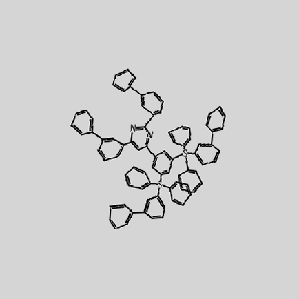 c1ccc(-c2cccc(-c3cc(-c4cc(S(c5ccccc5)(c5ccccc5)c5cccc(-c6ccccc6)c5)cc(S(c5ccccc5)(c5ccccc5)c5cccc(-c6ccccc6)c5)c4)nc(-c4cccc(-c5ccccc5)c4)n3)c2)cc1